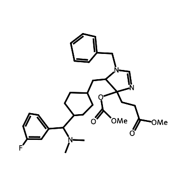 COC(=O)CCC1(OC(=O)OC)N=CN(Cc2ccccc2)C1CC1CCC(C(c2cccc(F)c2)N(C)C)CC1